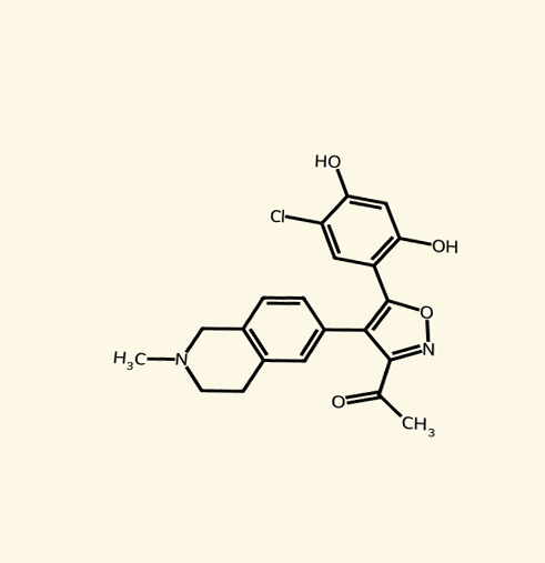 CC(=O)c1noc(-c2cc(Cl)c(O)cc2O)c1-c1ccc2c(c1)CCN(C)C2